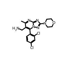 Cc1nc2nc(N3CCOCC3)nn2c(-c2ccc(Cl)cc2Cl)c1CN